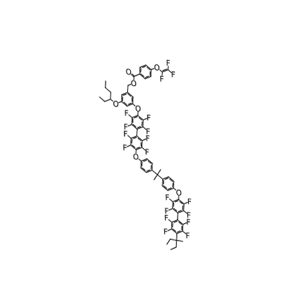 CCCC(CC)Oc1cc(COC(=O)c2ccc(OC(F)=C(F)F)cc2)cc(Oc2c(F)c(F)c(-c3c(F)c(F)c(Oc4ccc(C(C)(C)c5ccc(Oc6c(F)c(F)c(-c7c(F)c(F)c(C(C)(CC)CC)c(F)c7F)c(F)c6F)cc5)cc4)c(F)c3F)c(F)c2F)c1